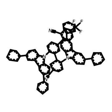 N#Cc1ccc(-n2c3ccc(-c4ccccc4)cc3c3cc(-c4ccccc4)ccc32)c(-c2cc(-c3ccc(C(F)(F)F)cc3C#N)ccc2-n2c3ccc(-c4ccccc4)cc3c3cc(-c4ccccc4)ccc32)c1